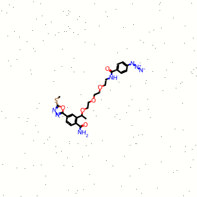 CSc1nnc(-c2ccc(C(N)=O)c(C(C)OCCOCCOCCNC(=O)c3ccc(N=[N+]=[N-])cc3)c2)o1